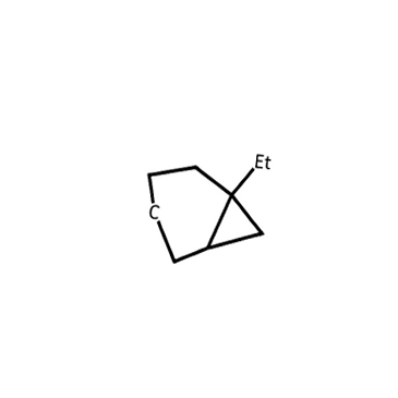 [CH2]CC12CCCCC1C2